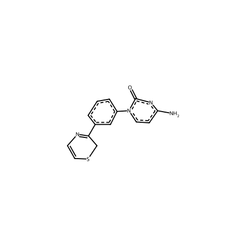 Nc1ccn(-c2cccc(C3=NC=CSC3)c2)c(=O)n1